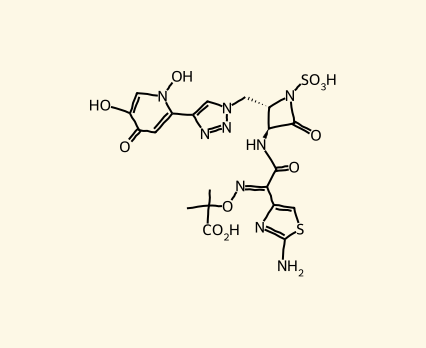 CC(C)(ON=C(C(=O)N[C@@H]1C(=O)N(S(=O)(=O)O)[C@H]1Cn1cc(-c2cc(=O)c(O)cn2O)nn1)c1csc(N)n1)C(=O)O